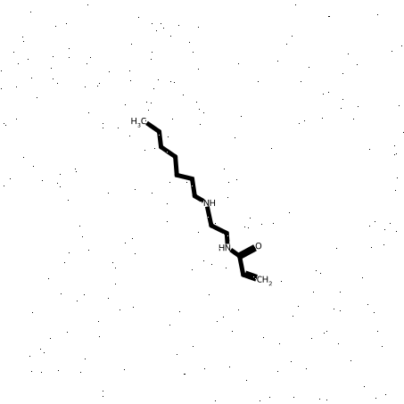 C=CC(=O)NCCNCCCCCCC